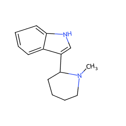 CN1CCCCC1c1c[nH]c2ccccc12